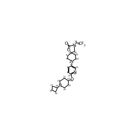 O=C1OC2(CCN(c3ccc(OC4CCN(C5CCC5)CC4)nc3)CC2)CN1CC(F)(F)F